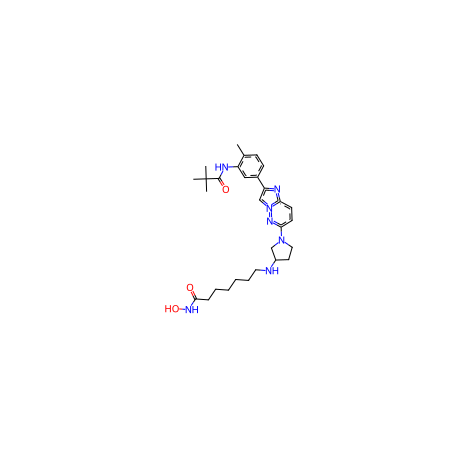 Cc1ccc(-c2cn3nc(N4CCC(NCCCCCCC(=O)NO)C4)ccc3n2)cc1NC(=O)C(C)(C)C